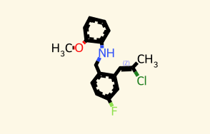 COc1ccccc1NCc1ccc(F)cc1/C=C(/C)Cl